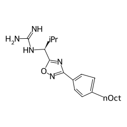 CCCCCCCCc1ccc(-c2noc([C@@H](NC(=N)N)C(C)C)n2)cc1